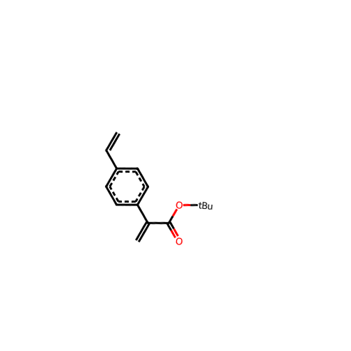 C=Cc1ccc(C(=C)C(=O)OC(C)(C)C)cc1